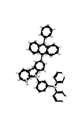 C/C=C\C(=C/C)N(C(/C=C\C)=C/C)c1cccc(-n2c3ccc(-c4c5ccccc5c(-c5ccccc5)c5ccccc45)cc3c3cccnc32)c1